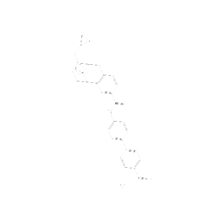 COC(=O)c1ccc(-c2ccc(NC(=O)c3ccc4c(c3)[C@@]3(C)CCN(CC5CC5)C(C4)[C@@H]3C)cc2)cc1